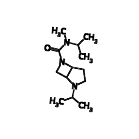 CC(C)N(C)C(=O)N1CC2C1CCN2C(C)C